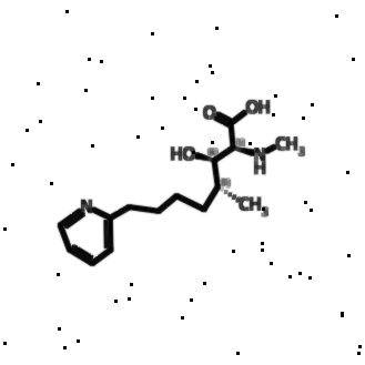 CN[C@H](C(=O)O)[C@H](O)[C@H](C)CCCCc1ccccn1